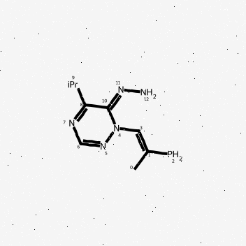 C/C(P)=C\n1ncnc(C(C)C)/c1=N/N